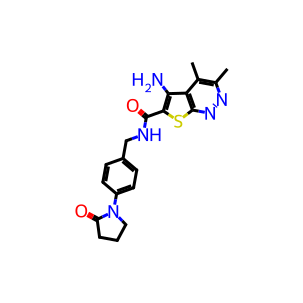 Cc1nnc2sc(C(=O)NCc3ccc(N4CCCC4=O)cc3)c(N)c2c1C